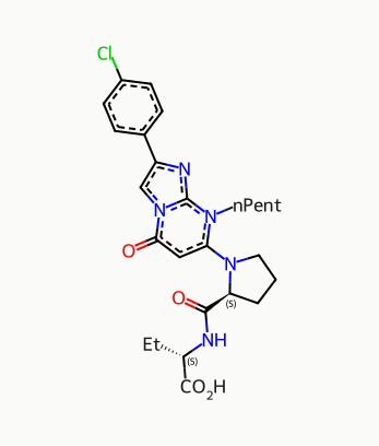 CCCCCn1c(N2CCC[C@H]2C(=O)N[C@@H](CC)C(=O)O)cc(=O)n2cc(-c3ccc(Cl)cc3)nc12